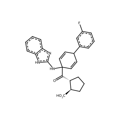 O=C(O)[C@@H]1CCC[C@H]1C(=O)C1(Nc2nc3ccccc3[nH]2)C=CC(c2cccc(F)c2)C=C1